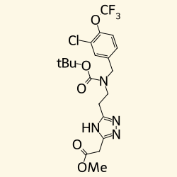 COC(=O)Cc1nnc(CCN(Cc2ccc(OC(F)(F)F)c(Cl)c2)C(=O)OC(C)(C)C)[nH]1